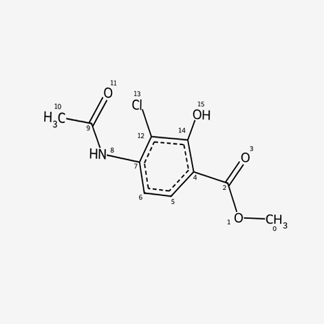 COC(=O)c1ccc(NC(C)=O)c(Cl)c1O